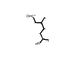 CCCC(C)CCC(C)CC=O